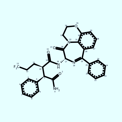 NC(=O)[C@@H](c1ccccc1)[C@@H](CCC(F)(F)F)C(=O)N[C@H]1N=C(c2ccccc2)c2cccc3c2N(CCO3)C1=O